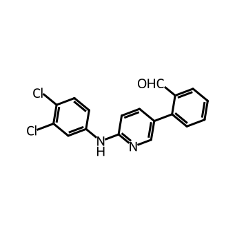 O=Cc1ccccc1-c1ccc(Nc2ccc(Cl)c(Cl)c2)nc1